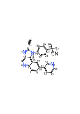 C#Cc1nc2cnc3ccc(-c4cccnc4)cc3c2n1-c1ccc(C(C)(C)C#N)cc1